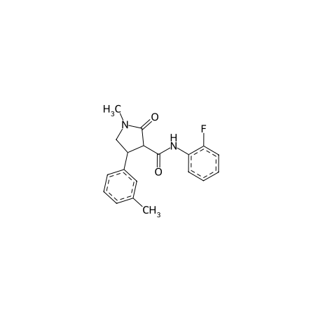 Cc1cccc(C2CN(C)C(=O)C2C(=O)Nc2ccccc2F)c1